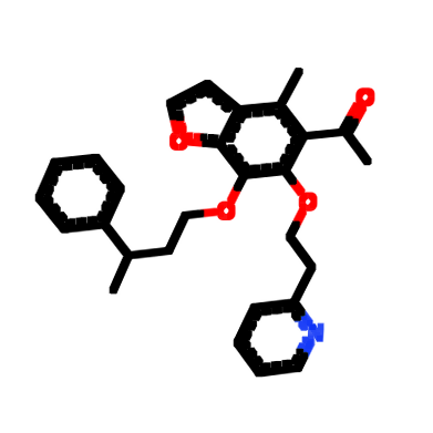 CC(=O)c1c(OCCc2ccccn2)c(OCCC(C)c2ccccc2)c2occc2c1C